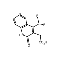 O=C(O)Cc1c(C(F)F)c2cnccc2[nH]c1=O